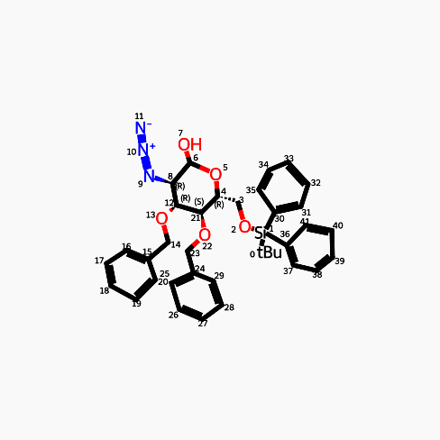 CC(C)(C)[Si](OC[C@H]1OC(O)[C@H](N=[N+]=[N-])[C@@H](OCc2ccccc2)[C@@H]1OCc1ccccc1)(c1ccccc1)c1ccccc1